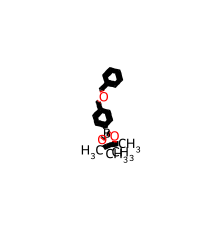 CC1(C)OB(c2ccc(COCc3ccccc3)cc2)OC1(C)C